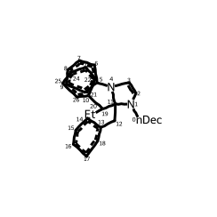 CCCCCCCCCCN1C=CN(c2ccccc2)C1(Cc1ccccc1)C(CC)c1ccccc1